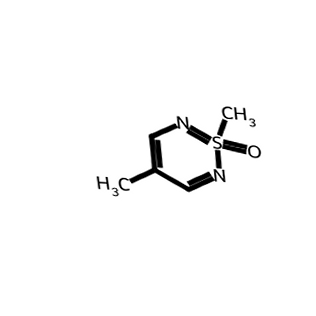 CC1=CN=S(C)(=O)N=C1